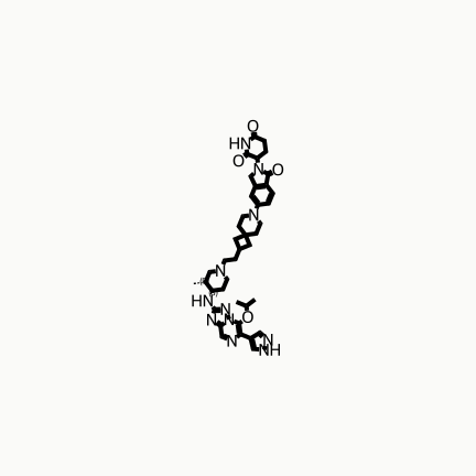 CC(C)Oc1c(-c2cn[nH]c2)ncc2nc(N[C@H]3CCN(CCC4CC5(CCN(c6ccc7c(c6)CN(C6CCC(=O)NC6=O)C7=O)CC5)C4)C[C@H]3C)nn12